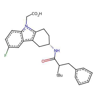 CC(C)(C)C(Cc1ccccc1)C(=O)N[C@H]1CCc2c(c3cc(F)ccc3n2CC(=O)O)C1